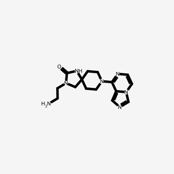 NCCN1CC2(CCN(c3nccn4cncc34)CC2)NC1=O